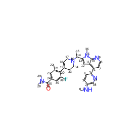 CNc1ccc(-c2ccnc3c2cc(C(C)N2CC=C(c4c(C)cc(C(=O)N(C)C)cc4F)CC2)n3C)nc1